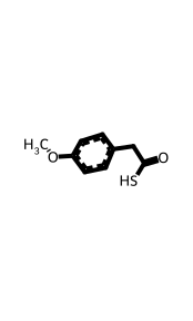 COc1ccc(CC(=O)S)cc1